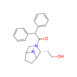 CN1C2CCC1[C@@H](CCO)N(C(=O)C(c1ccccc1)c1ccccc1)C2